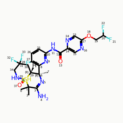 CC1(C)C(N)=N[C@](C)(c2nc(NC(=O)c3cnc(OCC(F)F)cn3)ccc2F)[C@H]2CC(F)(F)CN[SH]21=O